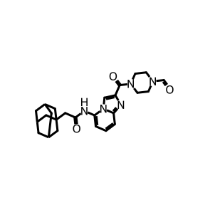 O=CN1CCN(C(=O)c2cn3c(NC(=O)CC45CC6CC(CC(C6)C4)C5)cccc3n2)CC1